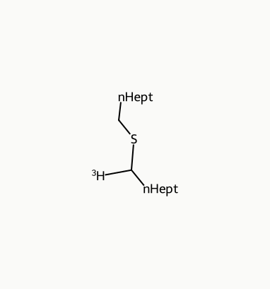 [3H]C(CCCCCCC)SCCCCCCCC